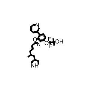 CCC(C=N)CC(C)C/C=C/c1nc2c(OC(F)(F)C(C)(C)O)ccc(C3=CC=CC=NC3)c2o1